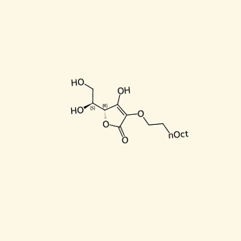 CCCCCCCCCCOC1=C(O)[C@@H]([C@@H](O)CO)OC1=O